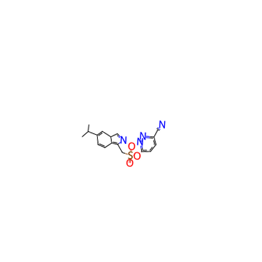 CC(C)C1=CC2C=NC(CS(=O)(=O)Oc3ccc(C#N)nn3)=C2C=C1